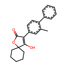 Cc1cc(C2=C(O)C3(CCCCC3)OC2=O)ccc1-c1ccccc1